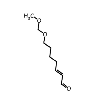 COCOCCCCC=CC=O